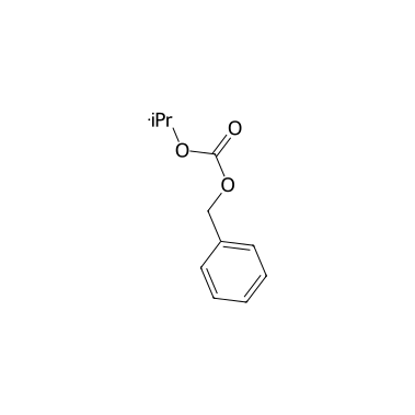 C[C](C)OC(=O)OCc1ccccc1